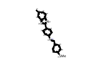 CSc1ccc(/C=N/c2ccc(-c3nc4ccc(C)cc4s3)cc2)cc1